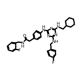 O=C(Cc1ccc(Nc2nc(NCc3ccc(F)cc3)nc(NCC3CCCCC3)n2)cc1)NCc1ccccc1F